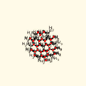 PP(P)P(P)P(P(P(P)P)P(P)P)P(P(P(P(P)P)P(P)P)P(P(P)P)P(P)P)P(P(P(P(P(P)P)P(P)P)P(P(P)P)P(P)P)P(P(P(P)P)P(P)P)P(P(P)P)P(P)P)P(P(P(P(P)P)P(P)P)P(P(P)P)P(P)P)P(P(P(P)P)P(P)P)P(P(P)P)P(P)P